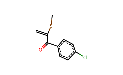 C=C(SC)C(=O)c1ccc(Cl)cc1